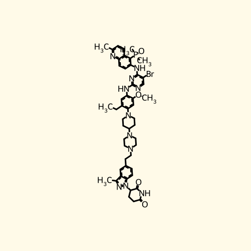 CCc1cc(Nc2ncc(Br)c(Nc3ccc4nc(C)ccc4c3P(C)(C)=O)n2)c(OC)cc1N1CCC(N2CCN(CCc3ccc4c(c3)c(C)nn4C3CCC(=O)NC3=O)CC2)CC1